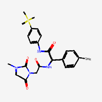 COc1ccc(C(NC(=O)CN2C(=O)CN(C)C2=O)C(=O)Nc2ccc(S(C)(C)C)cc2)cc1